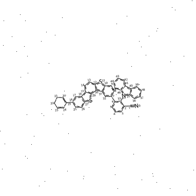 N#Cc1cccc(-c2ccc3sc4ccc5c6cc(C7=CCCC=C7)ccc6sc5c4c3c2)c1-n1c2ccccc2c2ccccc21